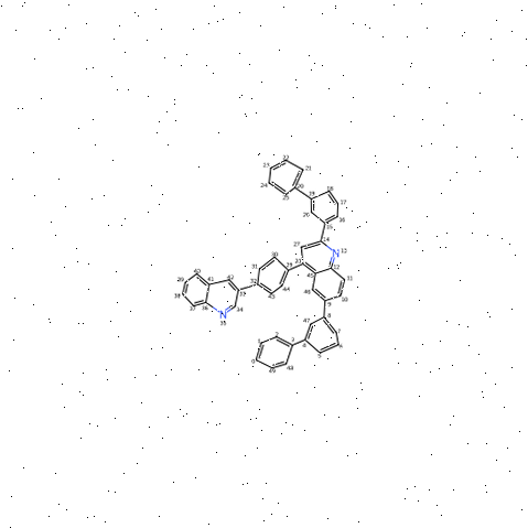 c1ccc(-c2cccc(-c3ccc4nc(-c5cccc(-c6ccccc6)c5)cc(-c5ccc(-c6cnc7ccccc7c6)cc5)c4c3)c2)cc1